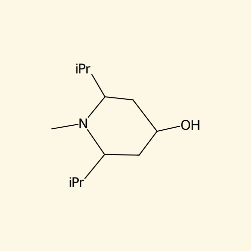 CC(C)C1CC(O)CC(C(C)C)N1C